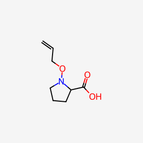 C=CCON1CCCC1C(=O)O